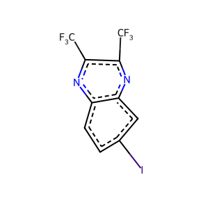 FC(F)(F)c1nc2ccc(I)cc2nc1C(F)(F)F